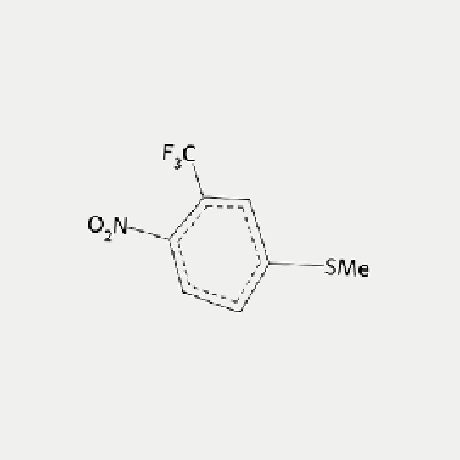 CSc1ccc([N+](=O)[O-])c(C(F)(F)F)c1